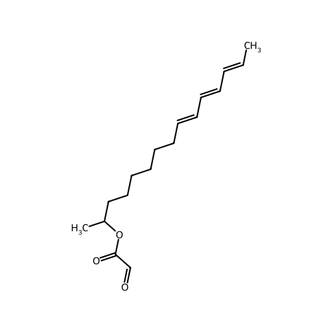 CC=CC=CC=CCCCCCCC(C)OC(=O)C=O